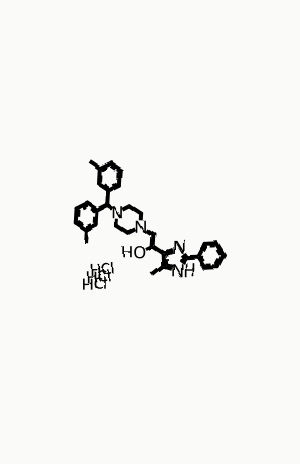 Cc1cccc(C(c2cccc(C)c2)N2CCN(CC(O)c3nc(-c4ccccc4)[nH]c3C)CC2)c1.Cl.Cl.Cl